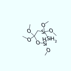 CO[SiH]1OC(OC)(OC)C[Si](OC)(OC)[SiH2]1